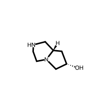 O[C@H]1C[C@H]2CNCCN2C1